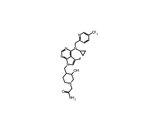 NC(=O)CN1CCC(Cn2cc(F)c3c(N(Cc4ccc(C(F)(F)F)cn4)C4CC4)ncnc32)C(O)C1